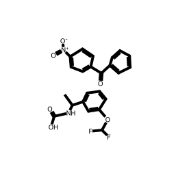 CC(NC(=O)O)c1cccc(OC(F)F)c1.O=C(c1ccccc1)c1ccc([N+](=O)[O-])cc1